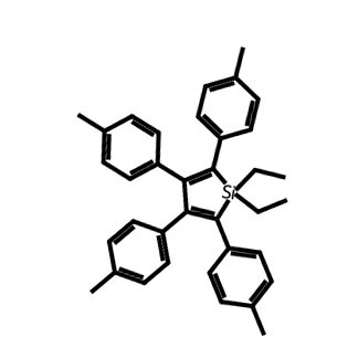 CC[Si]1(CC)C(c2ccc(C)cc2)=C(c2ccc(C)cc2)C(c2ccc(C)cc2)=C1c1ccc(C)cc1